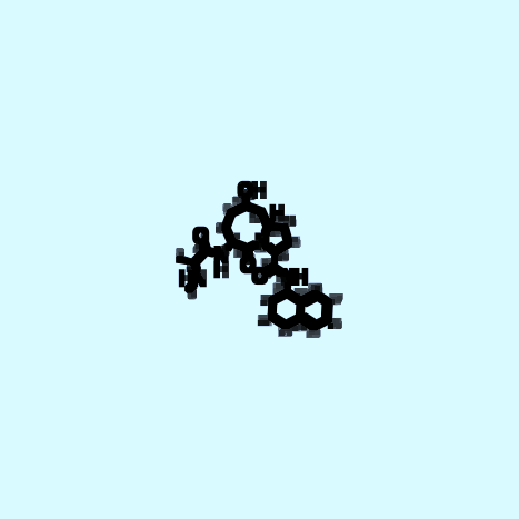 CN[C@@H](C)C(=O)N[C@H]1CCC(O)C[C@H]2CC[C@@H](C(=O)N[C@@H]3CCCc4ccccc43)N2C1=O